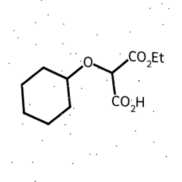 CCOC(=O)C(OC1CCCCC1)C(=O)O